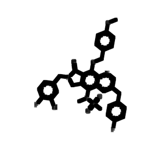 COc1ccc(COc2c3c(c(N(C)S(C)(=O)=O)c4cc(Cc5ccc(F)cc5)cnc24)CN(Cc2ccc(F)c(Cl)c2)C3=O)cc1